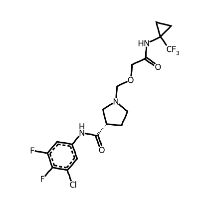 O=C(COCN1CC[C@H](C(=O)Nc2cc(F)c(F)c(Cl)c2)C1)NC1(C(F)(F)F)CC1